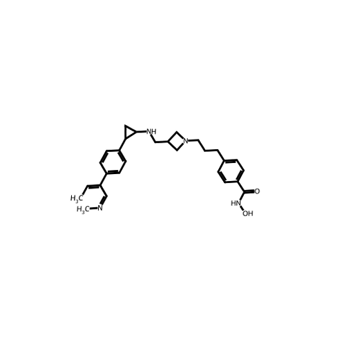 C/C=C(\C=N/C)c1ccc(C2CC2NCC2CN(CCCc3ccc(C(=O)NO)cc3)C2)cc1